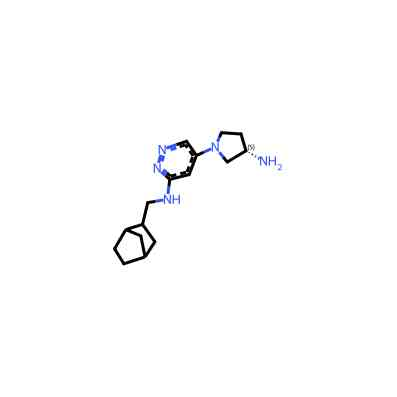 N[C@H]1CCN(c2cnnc(NCC3CC4CCC3C4)c2)C1